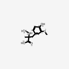 COc1cc(CC(C)(NN)C(=O)O)ccc1O